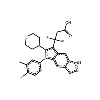 Cc1cc(-n2c(C3CCOCC3)c(C(F)(F)CC(=O)O)c3cc4[nH]ncc4cc32)ccc1F